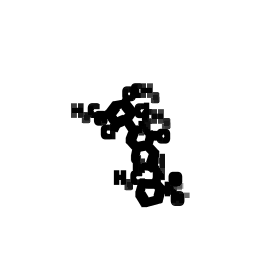 COc1cc(OC)c(Cl)c(-c2cc3cnc(Nc4c(C)cccc4[N+](=O)[O-])cc3c(=O)n2C)c1Cl